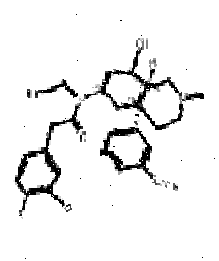 COc1cccc([C@@]23CCN(C)C[C@H]2C(O)C[C@H](N(CC(C)C)C(=O)Cc2ccc(Cl)c(Cl)c2)C3)c1